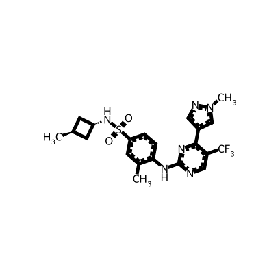 Cc1cc(S(=O)(=O)N[C@H]2C[C@H](C)C2)ccc1Nc1ncc(C(F)(F)F)c(-c2cnn(C)c2)n1